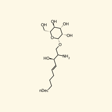 CCCCCCCCCCCCC/C=C/[C@@H](O)C(N)CO[C@@H]1O[C@H](CO)[C@@H](O)[C@H](O)[C@@H]1O